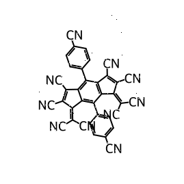 N#CC(C#N)=C1C(C#N)=C(C#N)c2c1c(-c1ccc(C#N)cc1)c1c(c2-c2ccc(C#N)cc2)C(C#N)=C(C#N)C1=C(C#N)C#N